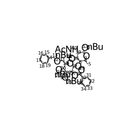 CCCCOC1OC(C)C(OC2OC(COCc3ccccc3)C(OCCCC)C(OCCCC)C2OC(=O)c2ccccc2)C(OCCCC)C1NC(C)=O